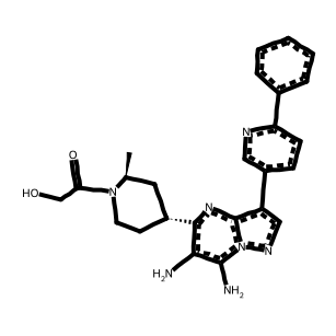 C[C@H]1C[C@H](c2nc3c(-c4ccc(-c5ccccc5)nc4)cnn3c(N)c2N)CCN1C(=O)CO